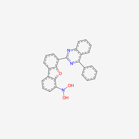 ON(O)c1cccc2c1oc1c(-c3nc(-c4ccccc4)c4ccccc4n3)cccc12